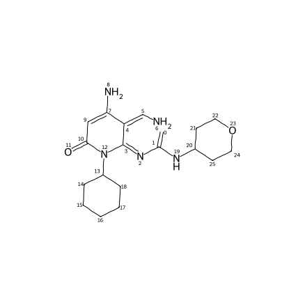 C=C(/N=C1\C(=C/N)C(N)=CC(=O)N1C1CCCCC1)NC1CCOCC1